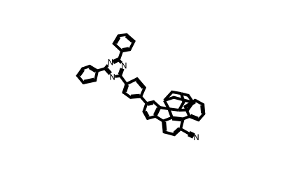 N#Cc1ccc2c(c1-c1ccccc1)C1(c3cc(-c4ccc(-c5nc(-c6ccccc6)nc(-c6ccccc6)n5)cc4)ccc3-2)C2CC3CC(C2)CC1C3